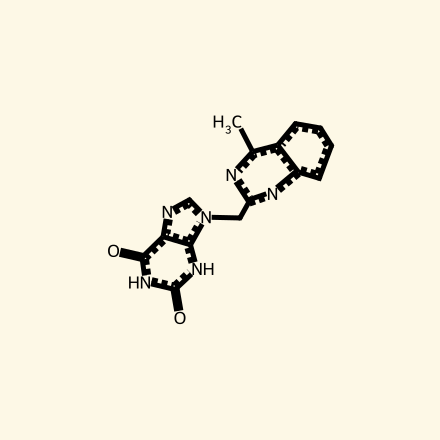 Cc1nc(Cn2cnc3c(=O)[nH]c(=O)[nH]c32)nc2ccccc12